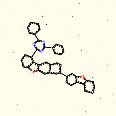 c1ccc(-c2nc(-c3ccccc3)nc(-c3cccc4oc5cc6cc(-c7ccc8c(c7)oc7ccccc78)ccc6cc5c34)n2)cc1